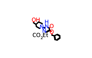 CCOC(=O)c1nc(N2CCC(CO)CC2)[nH]c(=O)c1OCc1ccccc1